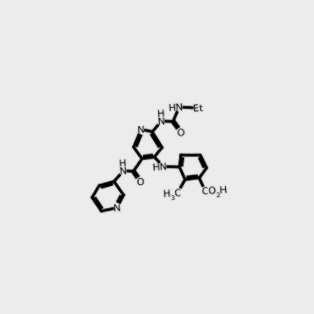 CCNC(=O)Nc1cc(Nc2cccc(C(=O)O)c2C)c(C(=O)Nc2cccnc2)cn1